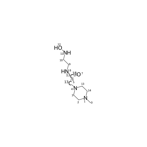 CN1CCN([13CH2][13C](=[18O])NCCNO)CC1